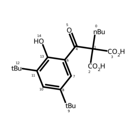 CCCCC(C(=O)O)(C(=O)O)C(=O)c1cc(C(C)(C)C)cc(C(C)(C)C)c1O